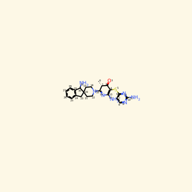 C[C@@H]1C(=O)C(Sc2ccnc(N)n2)=C(N)N=C1N1CCC2(CC1)Cc1ccccc1C2N